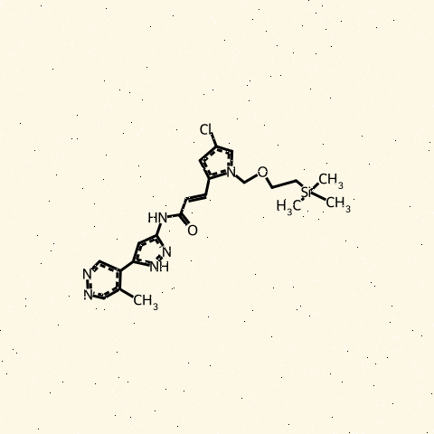 Cc1cnncc1-c1cc(NC(=O)C=Cc2cc(Cl)cn2COCC[Si](C)(C)C)n[nH]1